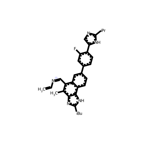 C=C/N=C\c1c(C)c2nc(C(C)CC)[nH]c2c2ccc(-c3ccc(-c4cnc(C(C)C)[nH]4)c(F)c3)cc12